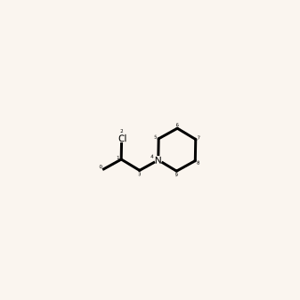 CC(Cl)CN1CCCCC1